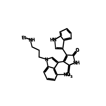 CCNCCCn1cc(C2=C(c3c[nH]c4ccccc34)C(=O)NC2=O)c2c([N+](=O)[O-])cccc21